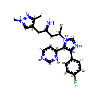 Cc1nn(C)cc1CC(=N)CC(C)n1cnc(-c2ccc(F)cc2)c1-c1ccncn1